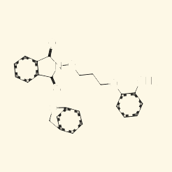 Cc1ccccc1OCCCON1C(=O)c2ccccc2C1=O.c1cc2cc(c1)OC2